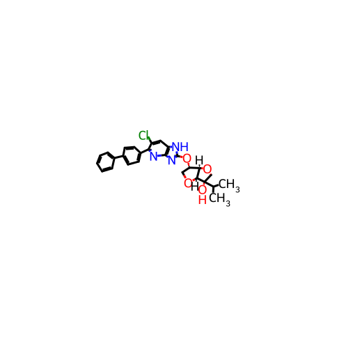 CC(C)[C@@]1(O)CO[C@@H]2[C@H](Oc3nc4nc(-c5ccc(-c6ccccc6)cc5)c(Cl)cc4[nH]3)CO[C@@H]21